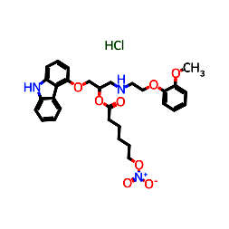 COc1ccccc1OCCNCC(COc1cccc2[nH]c3ccccc3c12)OC(=O)CCCCCO[N+](=O)[O-].Cl